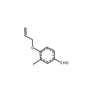 C=CCOc1ccc(C=O)cc1I